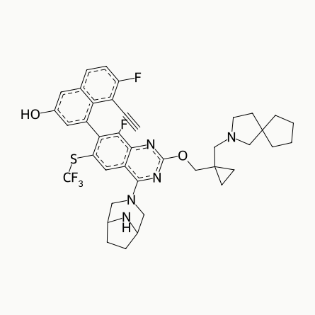 C#Cc1c(F)ccc2cc(O)cc(-c3c(SC(F)(F)F)cc4c(N5CC6CCC(C5)N6)nc(OCC5(CN6CCC7(CCCC7)C6)CC5)nc4c3F)c12